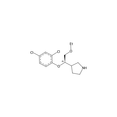 CCOC[C@H](Oc1ccc(Cl)cc1Cl)C1CCNC1